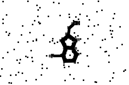 OCc1cc2c(F)cccc2s1